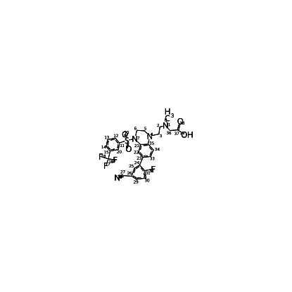 CN(CCN1CCN(S(=O)(=O)c2cccc(C(F)(F)F)c2)c2cc(-c3cc(C#N)ccc3F)ccc21)CC(=O)O